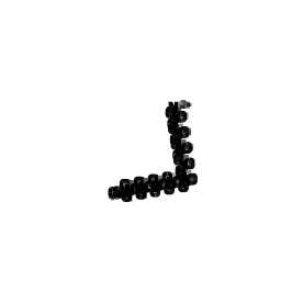 O=[N+]([O-])[O-].O=[N+]([O-])[O-].O=[N+]([O-])[O-].O=[N+]([O-])[O-].O=[N+]([O-])[O-].O=[N+]([O-])[O-].O=[N+]([O-])[O-].O=[N+]([O-])[O-].O=[N+]([O-])[O-].[Al+3].[Co+2].[Cu+2].[Ni+2]